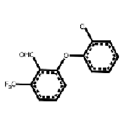 O=Cc1c(Oc2ccccc2Cl)cccc1C(F)(F)F